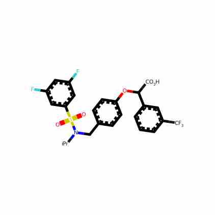 CC(C)N(Cc1ccc(OC(C(=O)O)c2cccc(C(F)(F)F)c2)cc1)S(=O)(=O)c1cc(F)cc(F)c1